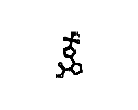 NS(=O)(=O)c1ccc(C2CCCN2C(=O)O)s1